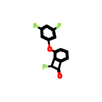 O=C1c2cccc(Oc3cc(F)cc(F)c3)c2C1F